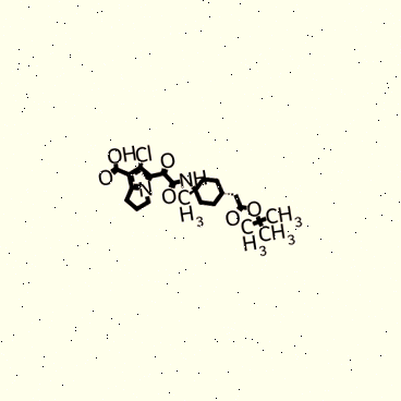 CC(C)(C)OC(=O)C[C@H]1CC[C@@](C)(NC(=O)C(=O)c2c(Cl)c(C(=O)O)c3n2CCC3)CC1